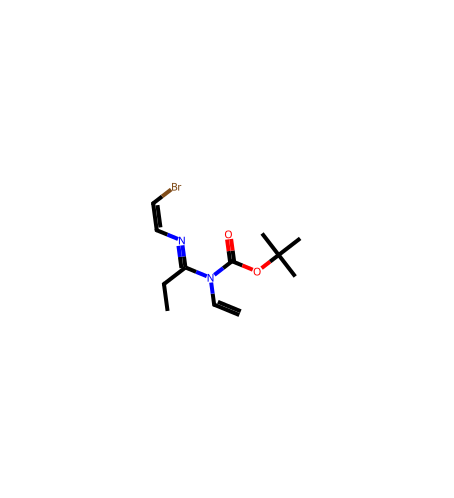 C=CN(C(=O)OC(C)(C)C)/C(CC)=N/C=C\Br